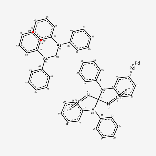 S=C=NC(N=C=S)([As](c1ccccc1)c1ccccc1)[As](c1ccccc1)c1ccccc1.[Pd].[Pd].c1ccc([As](C[As](c2ccccc2)c2ccccc2)c2ccccc2)cc1